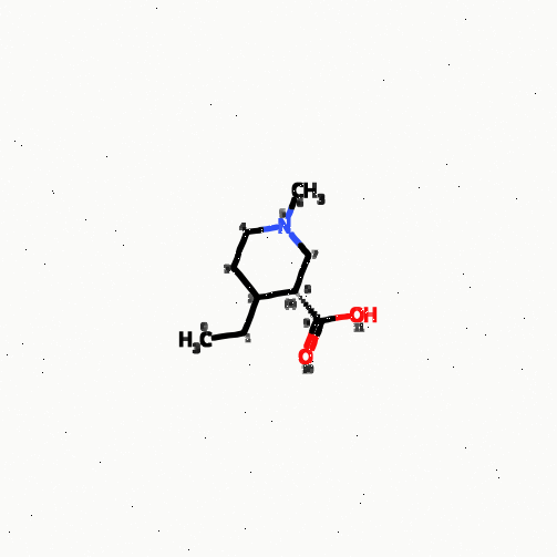 CCC1CCN(C)C[C@@H]1C(=O)O